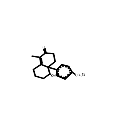 CCOC(=O)c1ccc(C23CCC(=O)C(C)=C2CCC[C@@H]3O)cc1